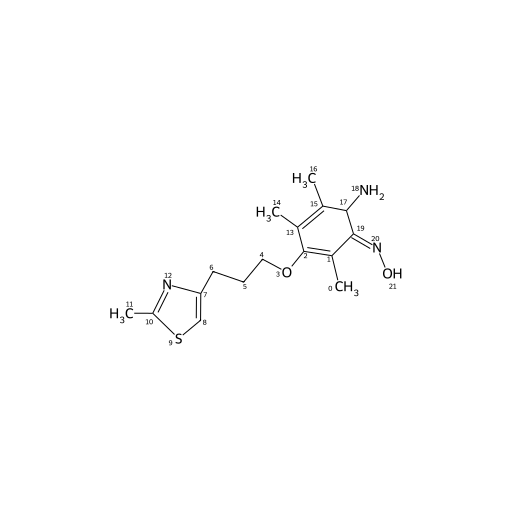 CC1=C(OCCCc2csc(C)n2)C(C)=C(C)C(N)C1=NO